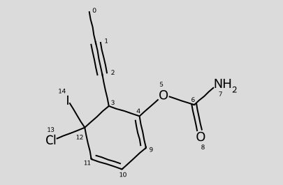 CC#CC1C(OC(N)=O)=CC=CC1(Cl)I